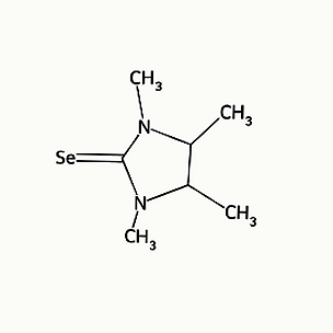 CC1C(C)N(C)C(=[Se])N1C